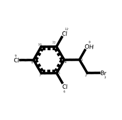 OC(CBr)c1c(Cl)cc(Cl)cc1Cl